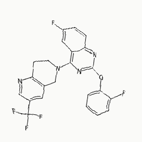 Fc1ccc2nc(Oc3ccccc3F)nc(N3CCc4ncc(C(F)(F)F)cc4C3)c2c1